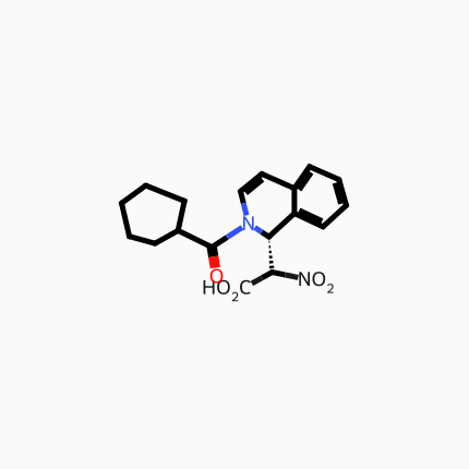 O=C(O)C([C@H]1c2ccccc2C=CN1C(=O)C1CCCCC1)[N+](=O)[O-]